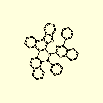 c1ccc(B2c3c(ccc4ccccc34)-c3c(c4oc5ccccc5c4c4ccccc34)N2c2nc(-c3ccccc3)c3ccccc3n2)cc1